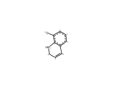 [O]c1cccc2c1NCC=C2